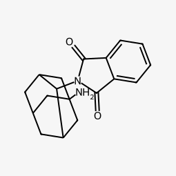 NC12CC3CC(C1)C(N1C(=O)c4ccccc4C1=O)C(C3)C2